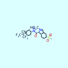 CS(=O)(=O)c1ccc2c(C(=O)Nc3ccc(C(C#N)(C(F)(F)F)C(F)(F)F)cc3)n(C(=O)O)cc2c1